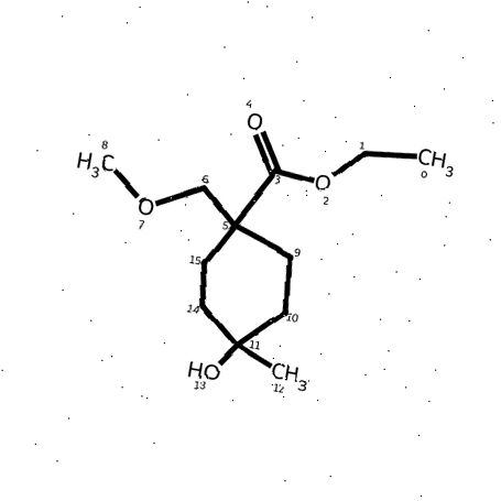 CCOC(=O)C1(COC)CCC(C)(O)CC1